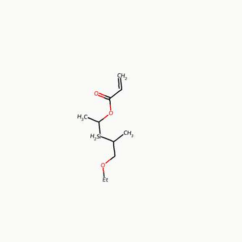 C=CC(=O)OC(C)[SiH2]C(C)COCC